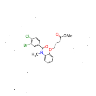 COC(=O)CCCOc1ccccc1N(C)C(=O)c1ccc(Cl)c(Br)c1